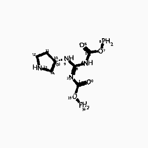 O=C(N=C(NC(=O)OP)N[C@H]1CCNC1)OP